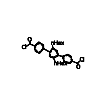 CCCCCCc1cc(-c2ccc(C(=O)Cl)cc2)c(CCCCCC)cc1-c1ccc(C(=O)Cl)cc1